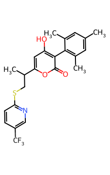 Cc1cc(C)c(-c2c(O)cc(C(C)CSc3ccc(C(F)(F)F)cn3)oc2=O)c(C)c1